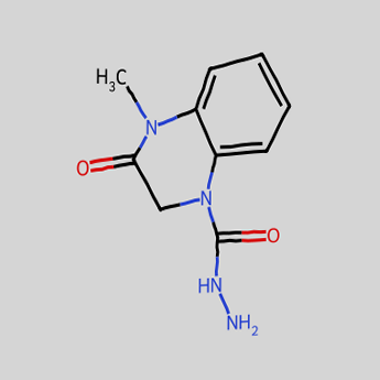 CN1C(=O)CN(C(=O)NN)c2ccccc21